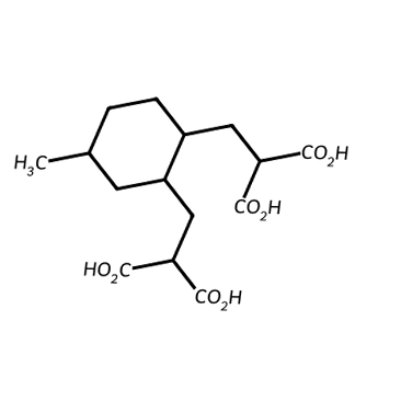 CC1CCC(CC(C(=O)O)C(=O)O)C(CC(C(=O)O)C(=O)O)C1